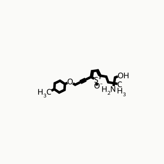 CC1CCC(OCC#Cc2ccc(CCC(C)(N)CO)[s+]2[O-])CC1